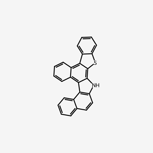 c1ccc2c(c1)ccc1[nH]c3c4sc5ccccc5c4c4ccccc4c3c12